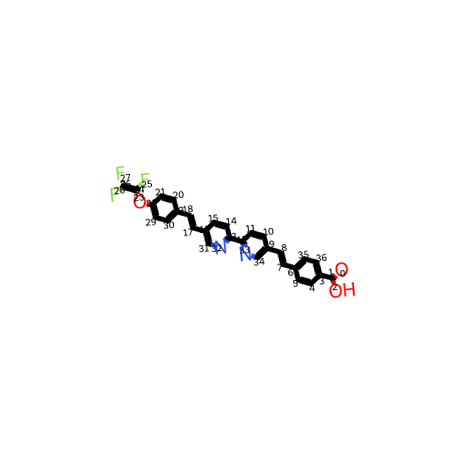 O=C(O)c1ccc(/C=C/c2ccc(-c3ccc(/C=C/c4ccc(OC(F)=C(F)F)cc4)cn3)nc2)cc1